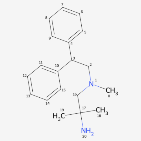 CN(CC(c1ccccc1)c1ccccc1)CC(C)(C)N